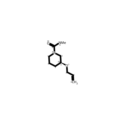 C=CCO[C@H]1CCCN(C(=O)NC)C1